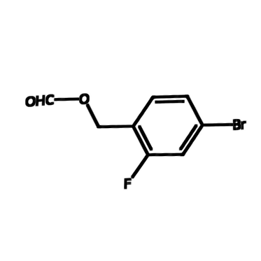 O=COCc1ccc(Br)cc1F